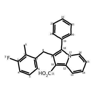 Cc1c(F)cccc1Cc1c(C(=O)O)c2ccccn2c1-c1ccccc1